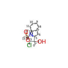 CC(O)(CCl)c1cc2ccccc2n1S(C)(=O)=O